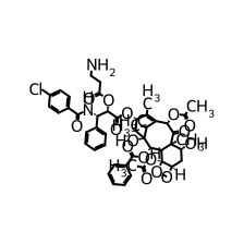 CC(=O)O[C@H]1C(=O)[C@@]2(C)[C@H]([C@H](OC(=O)c3ccccc3)[C@]3(O)C[C@H](OC(=O)[C@H](OC(=O)CCN)[C@@H](NC(=O)c4ccc(Cl)cc4)c4ccccc4)C(C)=C1C3(C)C)[C@]1(OC(C)=O)OO[C@@H]1C[C@@H]2O